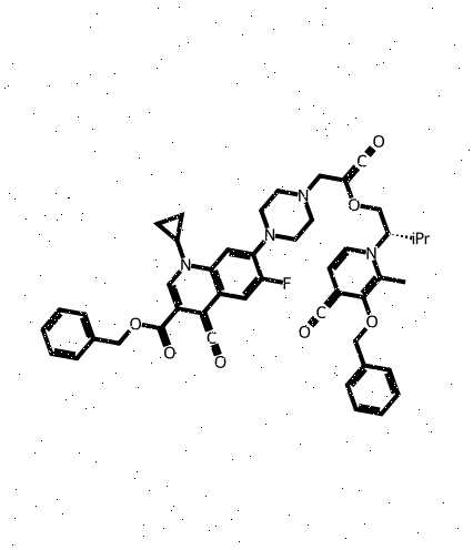 CC1=C(OCc2ccccc2)C(=C=O)C=CN1[C@H](COC(=C=O)CN1CCN(c2cc3c(cc2F)C(=C=O)C(C(=O)OCc2ccccc2)=CN3C2CC2)CC1)C(C)C